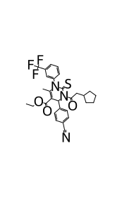 CCOC(=O)C1=C(C)N(c2cccc(C(F)(F)F)c2)C(=S)N(C(=O)CC2CCCC2)C1c1ccc(C#N)cc1